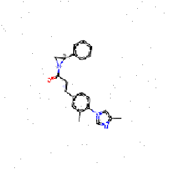 Cc1cn(-c2ccc(/C=C/C(=O)N3C[C@H]3c3ccccc3)cc2C)cn1